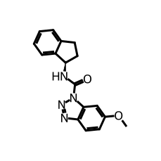 COc1ccc2nnn(C(=O)N[C@@H]3CCc4ccccc43)c2c1